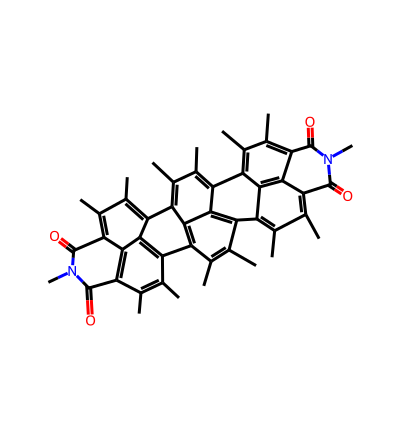 Cc1c2c3c(c(C)c(C)c4c5c(C)c(C)c6c7c(C)c(C)c8c9c(c(C)c(C)c(c%10c(C)c(C)c(c(c1C)c34)c5c%106)c97)C(=O)N(C)C8=O)C(=O)N(C)C2=O